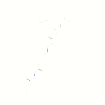 CC(C)C[C@@H](N)C(=O)NNC(=O)CCCCCNC(=O)CN(CCN(CC(=O)O)CC(=O)O)CCN(CC(=O)O)CC(=O)O